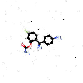 N=C(c1ccc(N)cc1)c1ccc(F)cc1OC(N)=O